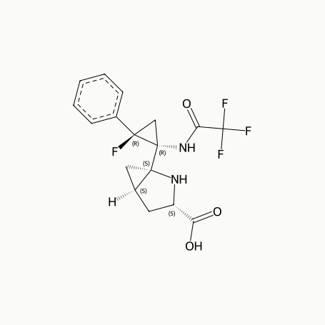 O=C(O)[C@@H]1C[C@H]2C[C@]2([C@]2(NC(=O)C(F)(F)F)C[C@@]2(F)c2ccccc2)N1